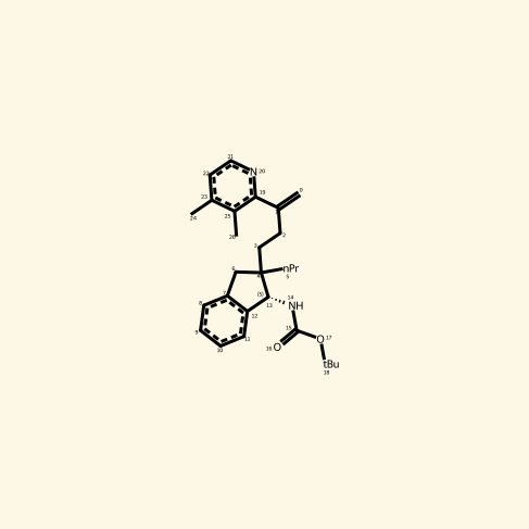 C=C(CCC1(CCC)Cc2ccccc2[C@H]1NC(=O)OC(C)(C)C)c1nccc(C)c1C